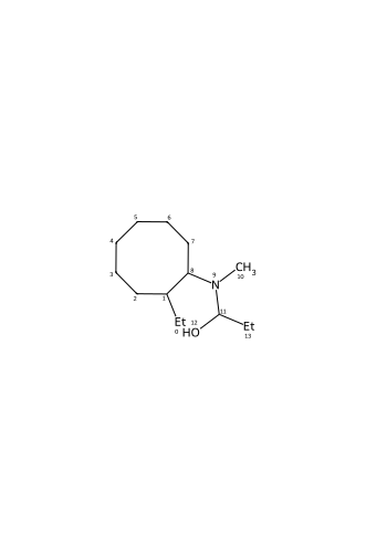 CCC1CCCCCCC1N(C)C(O)CC